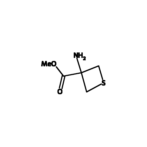 COC(=O)C1(N)CSC1